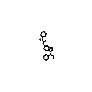 CCC(c1ccncc1)n1ccc2cc(OC(=O)NC3CCCCC3)ccc21